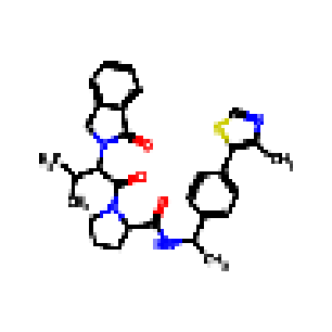 Cc1ncsc1-c1ccc(C(C)NC(=O)C2CCCN2C(=O)C(C(C)C)N2Cc3ccccc3C2=O)cc1